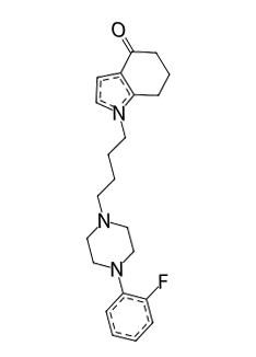 O=C1CCCc2c1ccn2CCCCN1CCN(c2ccccc2F)CC1